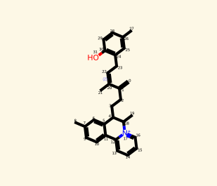 C=C(CCC1c2cc(C)ccc2-c2cccc[n+]2C1C)/C(C)=C\Cc1cc(C)ccc1O